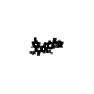 C[C@H](NC1=NC(=O)[C@@](C)(C2CCN(C(=O)c3ccc[nH]3)CC2)S1)c1ccc(F)cc1